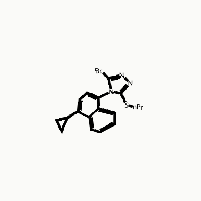 CCCSc1nnc(Br)n1-c1ccc(C2CC2)c2ccccc12